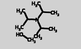 CC(C)N(C(C)C)C(C)C.CO